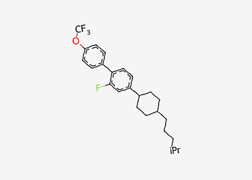 CC(C)CCCC1CCC(c2ccc(-c3ccc(OC(F)(F)F)cc3)c(F)c2)CC1